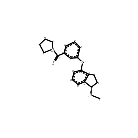 CO[C@@H]1CCc2c(Oc3cccc(C(=O)N4CCCC4)c3)cccc21